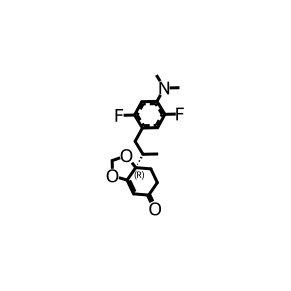 CC(Cc1cc(F)c(N(C)C)cc1F)[C@]12CCC(=O)C=C1OCO2